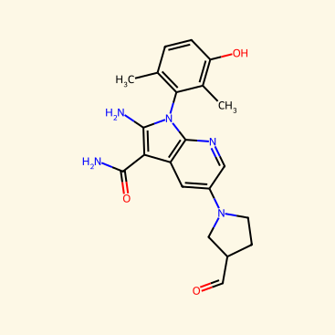 Cc1ccc(O)c(C)c1-n1c(N)c(C(N)=O)c2cc(N3CCC(C=O)C3)cnc21